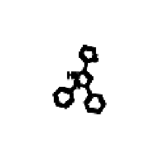 C1=C(c2cccs2)NN(c2ccccc2)C1c1ccccc1